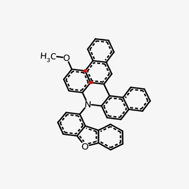 COc1ccc(N(c2ccc3ccccc3c2-c2ccc3ccccc3c2)c2cccc3oc4ccccc4c23)cc1